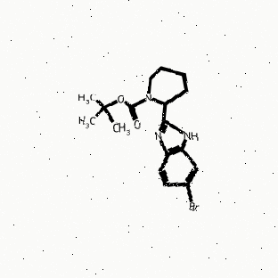 CC(C)(C)OC(=O)N1CCCCC1c1nc2ccc(Br)cc2[nH]1